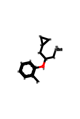 [CH2]c1ccccc1OC(CCCCCCCCC)CC1CC1